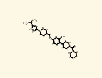 CC(C)c1noc(N2CCC(COc3ccc(C4=CCC(C(=O)N5CCSCC5)CC4)c(F)c3)CC2)n1